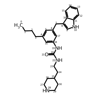 CCCCc1cc(Cc2c[nH]c3ccccc23)cc(NC(=O)NCCC2CCNCC2)c1